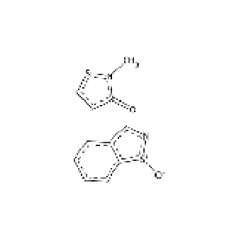 Cn1sccc1=O.[O-][s+]1ncc2ccccc21